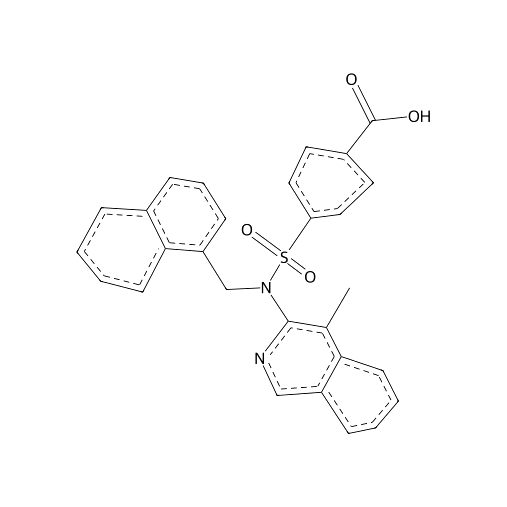 Cc1c(N(Cc2cccc3ccccc23)S(=O)(=O)c2ccc(C(=O)O)cc2)ncc2ccccc12